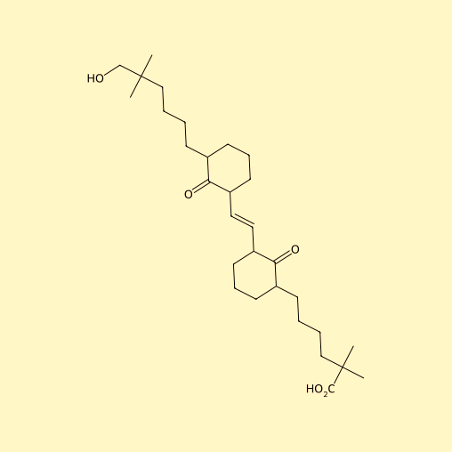 CC(C)(CO)CCCCC1CCCC(/C=C/C2CCCC(CCCCC(C)(C)C(=O)O)C2=O)C1=O